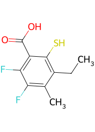 CCc1c(C)c(F)c(F)c(C(=O)O)c1S